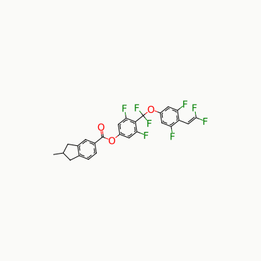 CC1Cc2ccc(C(=O)Oc3cc(F)c(C(F)(F)Oc4cc(F)c(C=C(F)F)c(F)c4)c(F)c3)cc2C1